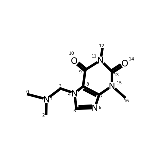 CN(C)Cn1cnc2c1c(=O)n(C)c(=O)n2C